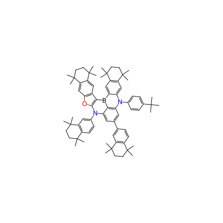 CC(C)(C)c1ccc(N2c3cc4c(cc3B3c5c2cc(-c2ccc6c(c2)C(C)(C)CCC6(C)C)cc5N(c2ccc5c(c2)C(C)(C)CCC5(C)C)c2oc5cc6c(cc5c23)C(C)(C)CCC6(C)C)C(C)(C)CCC4(C)C)cc1